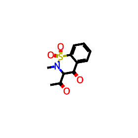 CC(=O)C1C(=O)c2ccccc2S(=O)(=O)N1C